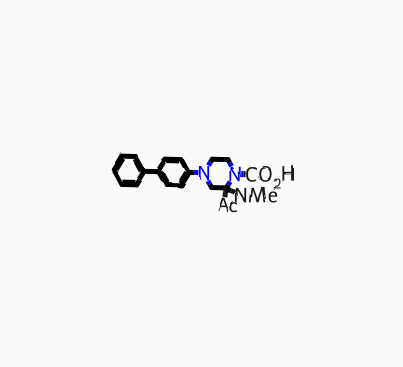 CNC1(C(C)=O)CN(c2ccc(-c3ccccc3)cc2)CCN1C(=O)O